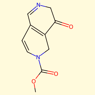 COC(=O)N1C=CC2=C(C1)C(=O)CN=C2